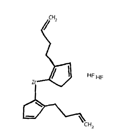 C=CCCC1=[C]([Zr][C]2=C(CCC=C)C=CC2)CC=C1.F.F